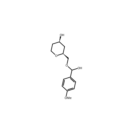 COc1ccc(C(O)OC[C@@H]2C[C@H](O)CCO2)cc1